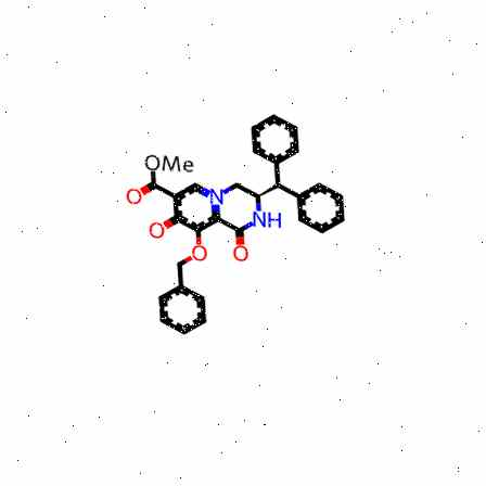 COC(=O)c1cn2c(c(OCc3ccccc3)c1=O)C(=O)N[C@H](C(c1ccccc1)c1ccccc1)C2